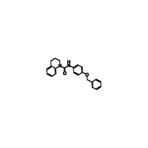 O=C(Nc1ccc(OCc2ccccc2)cc1)N1CCCc2ccccc21